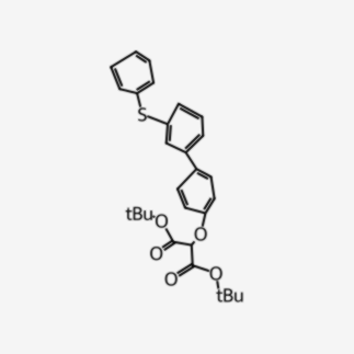 CC(C)(C)OC(=O)C(Oc1ccc(-c2cccc(Sc3ccccc3)c2)cc1)C(=O)OC(C)(C)C